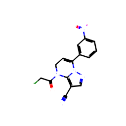 N#Cc1cnn2c1N(C(=O)CCl)CC=C2c1cccc([N+](=O)[O-])c1